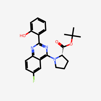 CC(C)(C)OC(=O)[C@@H]1CCCN1c1nc(-c2ccccc2O)nc2ccc(F)cc12